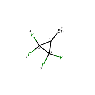 C[CH]C1C(F)(F)C1(F)F